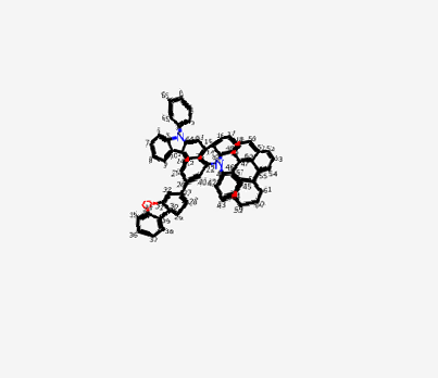 c1ccc(-n2c3ccccc3c3ccc(-c4ccccc4N(c4cccc(-c5ccc6c(c5)oc5ccccc56)c4)c4ccccc4-c4cccc5cccc(C6CCCCC6)c45)cc32)cc1